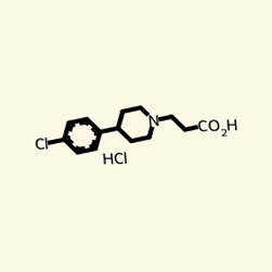 Cl.O=C(O)CCN1CCC(c2ccc(Cl)cc2)CC1